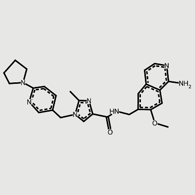 COc1cc2c(N)nccc2cc1CNC(=O)c1cn(Cc2ccc(N3CCCC3)nc2)c(C)n1